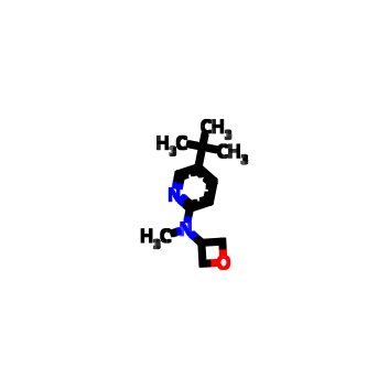 CN(c1ccc(C(C)(C)C)cn1)C1COC1